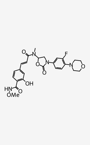 CONC(=O)c1ccc(/C=C/C(=O)N(C)C2CN(c3ccc(N4CCOCC4)c(F)c3)C(=O)O2)cc1O